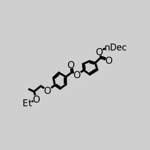 CCCCCCCCCCOC(=O)c1ccc(OC(=O)c2ccc(OCC(C)OCC)cc2)cc1